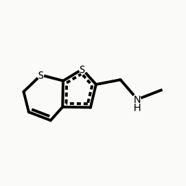 CNCc1cc2c(s1)SCC=C2